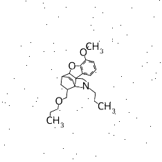 CCCOCC1CC2C=CC13CN(CCC)CCC31c3cccc(OC)c3OC21